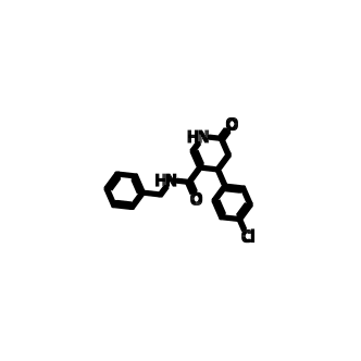 O=C1CC(c2ccc(Cl)cc2)C(C(=O)NCc2ccccc2)=CN1